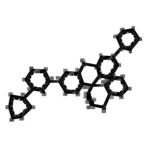 c1ccc(-c2ccc3c(c2)Sc2cc(-c4cccc(-c5ccccc5)n4)ccc2C32c3ccccc3Sc3ccccc32)cc1